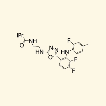 Cc1ccc(Nc2c(-c3nnc(NCCNC(=O)C(C)C)o3)ccc(F)c2F)c(F)c1